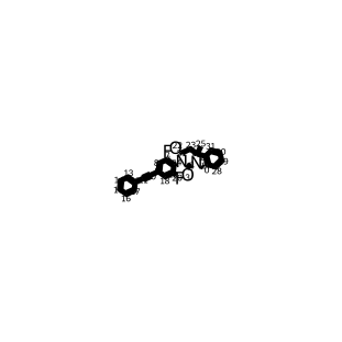 CN1C(=O)N(c2c(F)cc(C#Cc3ccccc3)cc2F)C(=O)CC1(C)c1ccccc1